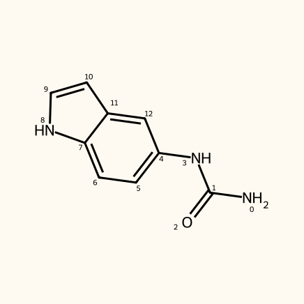 NC(=O)Nc1ccc2[nH]ccc2c1